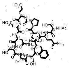 CC(=O)N[C@H](C(=O)N[C@@H](CCC(N)=O)C(=O)N[C@@H](CC(=O)O)C(=O)N1CCC[C@H]1C(=O)N[C@@H](CCC(=O)O)C(=O)N[C@@H](CC(=O)O)C(=O)N[C@@H](CC(N)=O)C(=O)N[C@H](C(=O)N[C@H](C(=O)N[C@@H](CO)C(=O)N[C@@H](Cc1ccccc1)C(N)=O)C(C)C)[C@@H](C)O)[C@@H](C)O